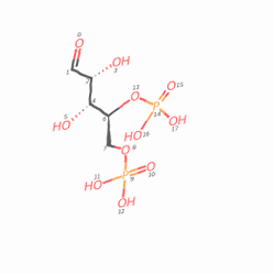 O=C[C@H](O)[C@@H](O)[C@H](COP(=O)(O)O)OP(=O)(O)O